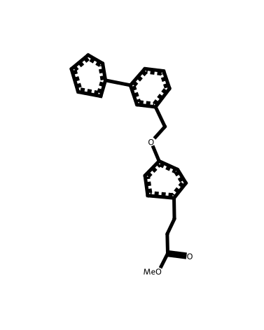 COC(=O)CCc1ccc(OCc2cccc(-c3ccccc3)c2)cc1